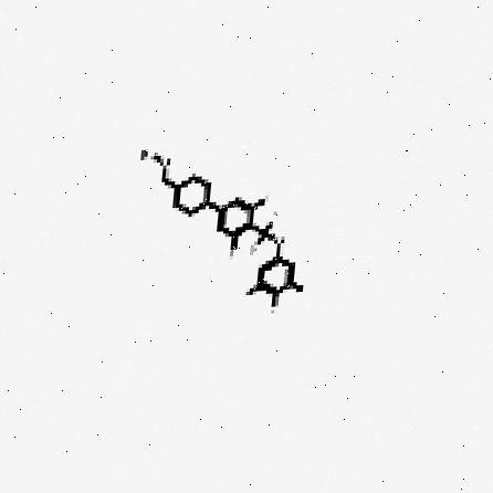 CCOCC1CCC(c2cc(F)c(C(F)(F)Oc3cc(F)c(F)c(F)c3)c(F)c2)CC1